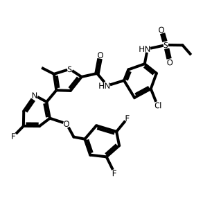 CCS(=O)(=O)Nc1cc(Cl)cc(NC(=O)c2cc(-c3ncc(F)cc3OCc3cc(F)cc(F)c3)c(C)s2)c1